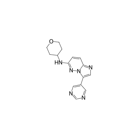 c1ncc(-c2cnc3ccc(NC4CCOCC4)nn23)cn1